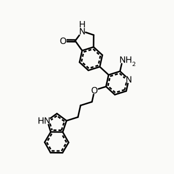 Nc1nccc(OCCCc2c[nH]c3ccccc23)c1-c1ccc2c(c1)CNC2=O